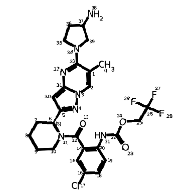 Cc1cn2nc([C@@H]3CCCCN3C(=O)c3cc(Cl)ccc3NC(=O)OCC(F)(F)F)cc2nc1N1CCC(N)C1